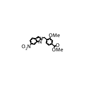 COC(=O)c1ccc(Cn2cc3ccc([N+](=O)[O-])cc3n2)c(OC)c1